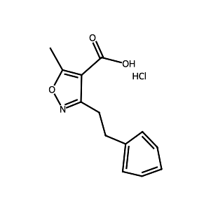 Cc1onc(CCc2ccccc2)c1C(=O)O.Cl